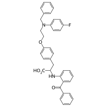 O=C(c1ccccc1)c1ccccc1NC(Cc1ccc(OCCN(Cc2ccccc2)c2ccc(F)cc2)cc1)C(=O)O